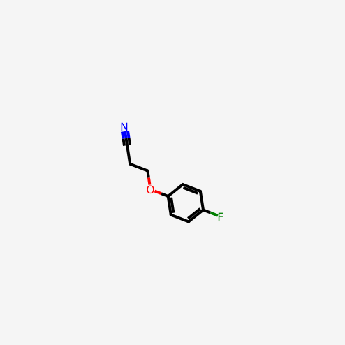 N#CCCOc1ccc(F)cc1